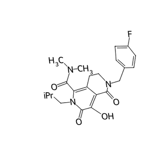 CC(C)Cn1c(C(=O)N(C)C)c2c(c(O)c1=O)C(=O)N(Cc1ccc(F)cc1)CC2